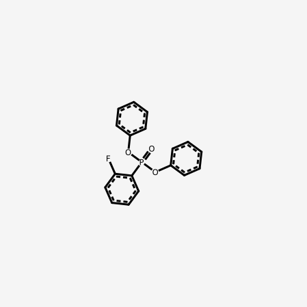 O=P(Oc1ccccc1)(Oc1ccccc1)c1ccccc1F